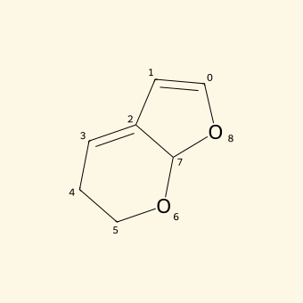 C1=CC2=CCCOC2O1